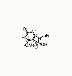 CCCN1c2nc(=O)[nH]c(OC)c2P1(=O)O